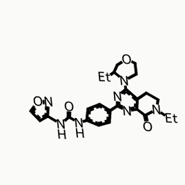 CCC1COCCN1c1nc(-c2ccc(NC(=O)Nc3ccon3)cc2)nc2c1CCN(CC)C2=O